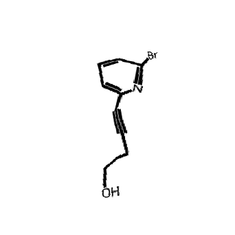 OCCC#Cc1cccc(Br)n1